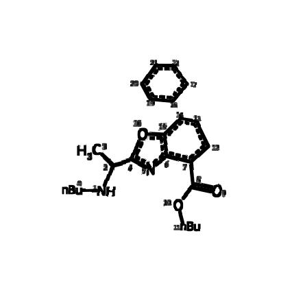 CCCCNC(C)c1nc2c(C(=O)OCCCC)cccc2o1.c1ccccc1